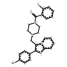 N#Cc1ccc(-c2nc3ccccn3c2CN2CCN(C(=O)c3ccccc3F)CC2)cc1